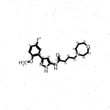 COc1ccc(F)cc1-c1cc(NC(=O)CCCN2CCCOCC2)[nH]n1